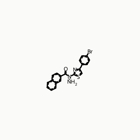 NN(C(=O)c1ccc2ccccc2c1)c1nc(-c2ccc(Br)cc2)cs1